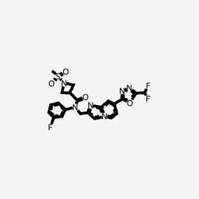 CS(=O)(=O)N1CC(C(=O)N(Cc2cn3ccc(-c4nnc(C(F)F)o4)cc3n2)c2cccc(F)c2)C1